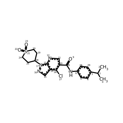 CC(C)c1ccc(NC(=O)c2cnc3c(cnn3C3CCS(=O)(=O)CC3)c2Cl)cc1